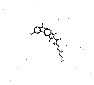 Cc1[nH]c(/C=C2\C(=O)Nc3ccc(Br)cc32)c(C)c1C(=O)NCCNCCC#N